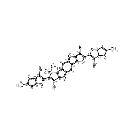 CC1=CC2SC(c3sc4c(oc5cc6c7c(oc6cc54)C(Br)=C(c4sc5cc(C)sc5c4Br)[Si]7(C)C)c3Br)=C(Br)C2S1